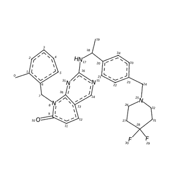 Cc1ccccc1Cn1c(=O)ccc2cnc(NC(C)c3ccc(CN4CCC(F)(F)CC4)cc3)nc21